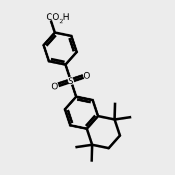 CC1(C)CCC(C)(C)c2cc(S(=O)(=O)c3ccc(C(=O)O)cc3)ccc21